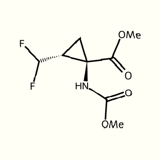 COC(=O)N[C@]1(C(=O)OC)C[C@H]1C(F)F